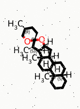 C[C@@H]1CC[C@@]2(OC1)O[C@H]1C[C@H]3[C@@H]4CC[C@@H]5CCCC[C@]5(C)[C@H]4CC[C@]3(C)[C@H]1[C@@H]2C